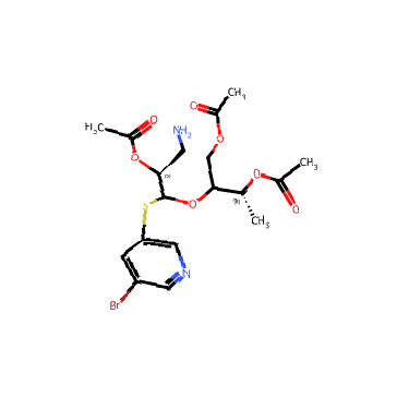 CC(=O)OCC(OC(Sc1cncc(Br)c1)[C@H](CN)OC(C)=O)[C@@H](C)OC(C)=O